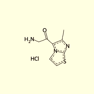 Cc1nc2sccn2c1C(=O)CN.Cl